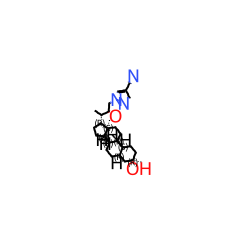 CC(C(=O)Cn1cc(C#N)cn1)[C@H]1CC[C@H]2[C@@H]3CC[C@@H]4C[C@](C)(O)CC[C@@H]4[C@H]3CC[C@]12C